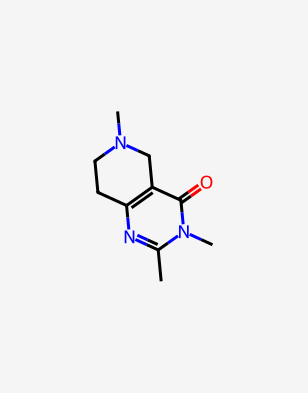 Cc1nc2c(c(=O)n1C)CN(C)CC2